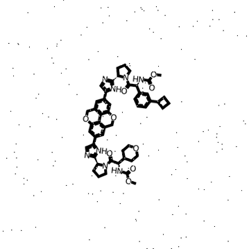 COC(=O)N[C@H](C(=O)N1CCC[C@H]1c1ncc(-c2cc3c4c(c2)OCc2cc(-c5cnc([C@@H]6CCCN6C(=O)[C@H](NC(=O)OC)c6cccc(C7CCC7)c6)[nH]5)cc(c2-4)OC3)[nH]1)C1CCOCC1